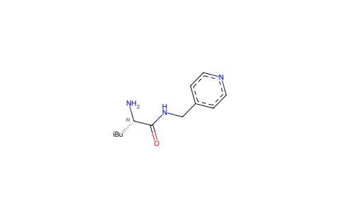 CCC(C)[C@H](N)C(=O)NCc1ccncc1